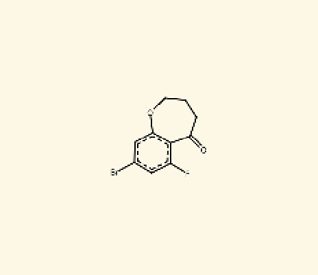 O=C1CCCOc2cc(Br)cc(F)c21